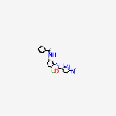 C[C@@H](NCc1ccc(Cl)c(NC(=O)c2ccc(N(C)C)nc2)c1)c1ccccc1